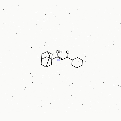 O=C(/C=C(\O)C12CC3CC(CC(C3)C1)C2)C1CCCCC1